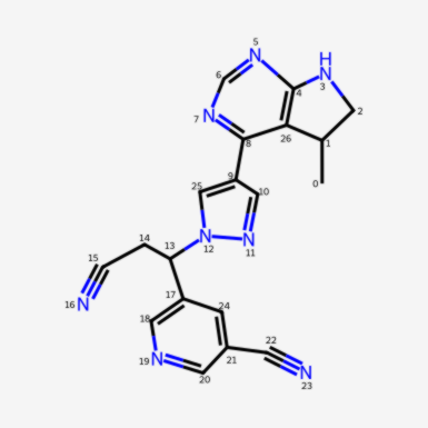 CC1CNc2ncnc(-c3cnn(C(CC#N)c4cncc(C#N)c4)c3)c21